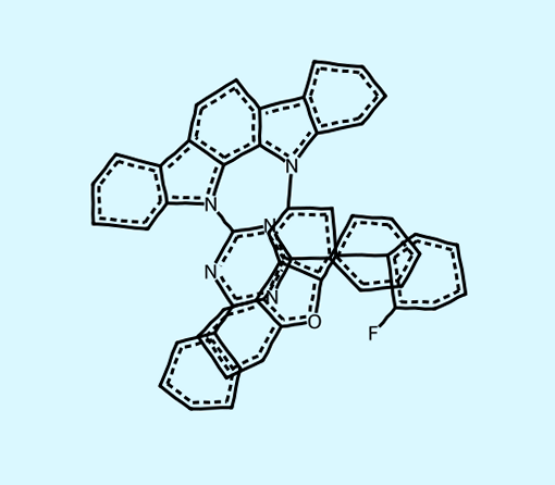 Fc1ccccc1-c1cc(-n2c3ccccc3c3ccc4c5ccccc5n(-c5nc(-c6ccccc6)nc(-c6ccccc6)n5)c4c32)cc2c1oc1ccccc12